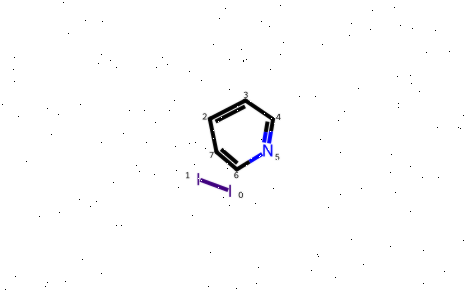 II.c1ccncc1